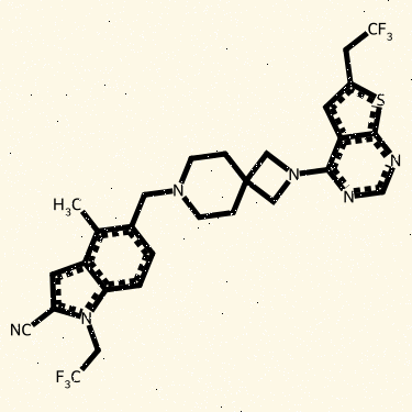 Cc1c(CN2CCC3(CC2)CN(c2ncnc4sc(CC(F)(F)F)cc24)C3)ccc2c1cc(C#N)n2CC(F)(F)F